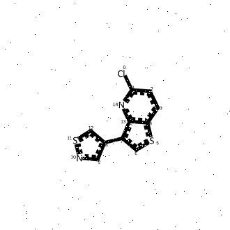 Clc1ccc2scc(-c3cnsc3)c2n1